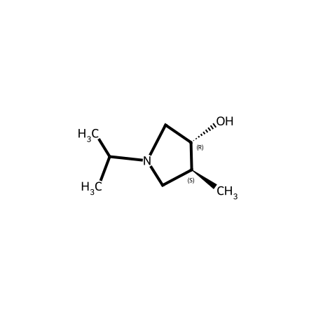 CC(C)N1C[C@H](C)[C@@H](O)C1